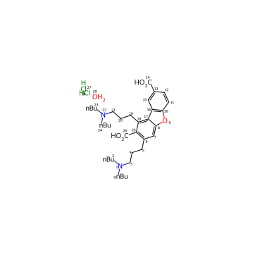 CCCCN(CCCC)CCCc1cc2oc3ccc(C(=O)O)cc3c2c(CCCN(CCCC)CCCC)c1C(=O)O.Cl.Cl.O